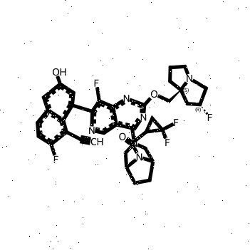 C#Cc1c(F)ccc2cc(O)cc(-c3ncc4c(N5CC6CCC(C5)N6C(=O)C5CC5(F)F)nc(OC[C@@]56CCCN5C[C@H](F)C6)nc4c3F)c12